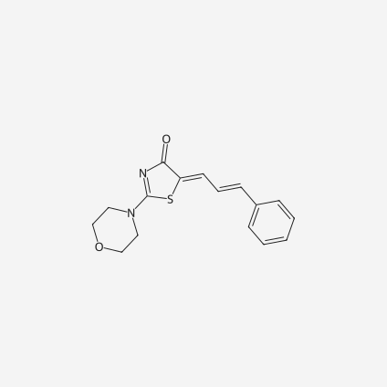 O=C1N=C(N2CCOCC2)SC1=CC=Cc1ccccc1